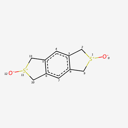 [O-][S+]1Cc2cc3c(cc2C1)C[S+]([O-])C3